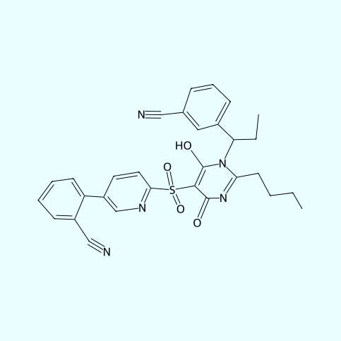 CCCCc1nc(=O)c(S(=O)(=O)c2ccc(-c3ccccc3C#N)cn2)c(O)n1C(CC)c1cccc(C#N)c1